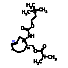 CN(C)C(=O)OC[C@@H]1CC[CH]/C=C/C[C@@H]1NC(=O)OCC[Si](C)(C)C